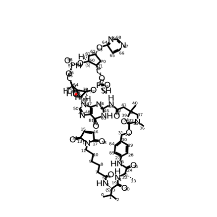 CC(C)[C@H](NC(=O)CCCCCN1C(=O)C=CC1=O)C(=O)N[C@@H](C)C(=O)Nc1ccc(COC(=O)N(C)CC(C)(C)CC(=O)Nc2nc3c(ncn3[C@@H]3O[C@@H]4CO[PH](=O)O[C@H]5C[C@H](Oc6ccncn6)CC5CO[P@@](=O)(S)O[C@@H]3[C@@H]4O)c(=O)[nH]2)cc1